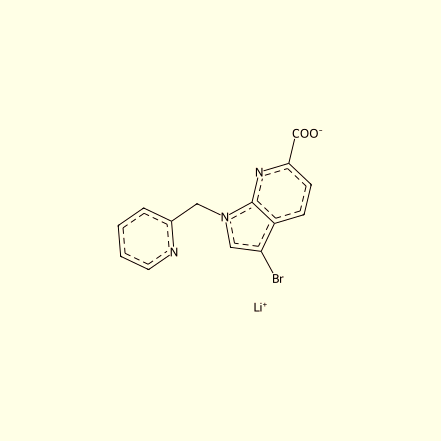 O=C([O-])c1ccc2c(Br)cn(Cc3ccccn3)c2n1.[Li+]